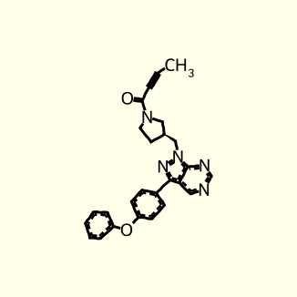 CC#CC(=O)N1CC[C@H](Cn2nc(-c3ccc(Oc4ccccc4)cc3)c3cncnc32)C1